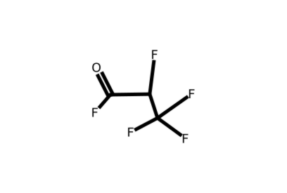 O=C(F)C(F)C(F)(F)F